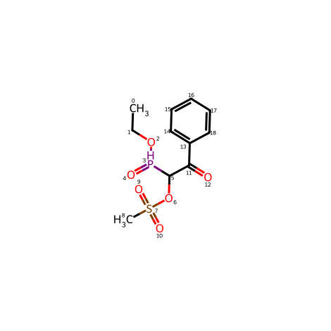 CCO[PH](=O)C(OS(C)(=O)=O)C(=O)c1ccccc1